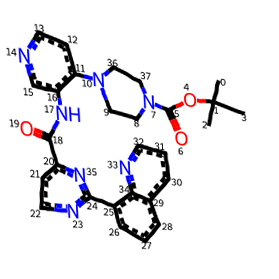 CC(C)(C)OC(=O)N1CCN(c2ccncc2NC(=O)c2ccnc(-c3cccc4cccnc34)n2)CC1